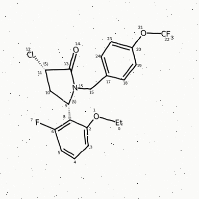 CCOc1cccc(F)c1[C@@H]1C[C@H](Cl)C(=O)N1Cc1ccc(OC(F)(F)F)cc1